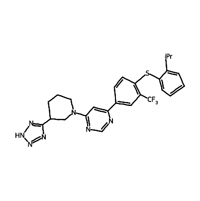 CC(C)c1ccccc1Sc1ccc(-c2cc(N3CCCC(c4nn[nH]n4)C3)ncn2)cc1C(F)(F)F